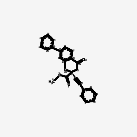 COC(=O)[C@]1(C#Cc2ccccc2)CC(=O)c2ccc(-c3ccccc3)cc2O1